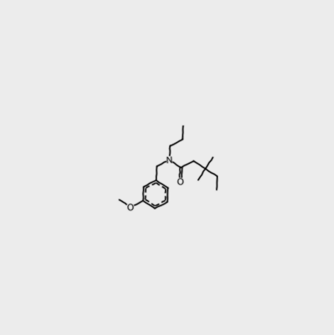 CCCN(Cc1cccc(OC)c1)C(=O)CC(C)(C)CC